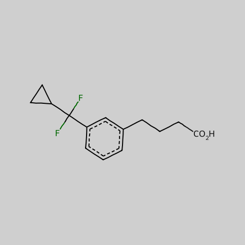 O=C(O)CCCc1cccc(C(F)(F)C2CC2)c1